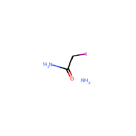 N.NC(=O)CI